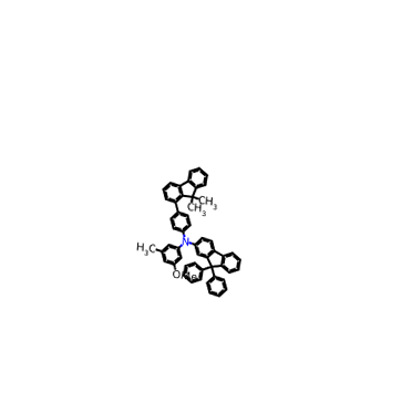 COc1cc(C)cc(N(c2ccc(-c3cccc4c3C(C)(C)c3ccccc3-4)cc2)c2ccc3c(c2)C(c2ccccc2)(c2ccccc2)c2ccccc2-3)c1